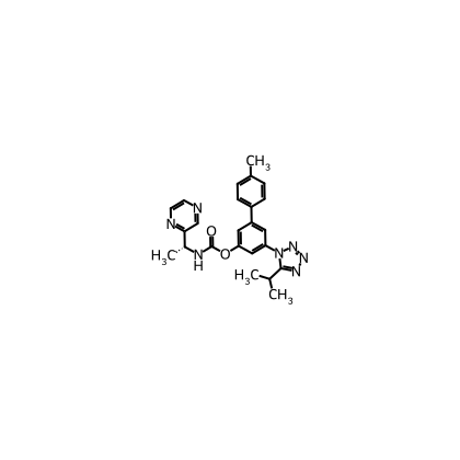 Cc1ccc(-c2cc(OC(=O)N[C@H](C)c3cnccn3)cc(-n3nnnc3C(C)C)c2)cc1